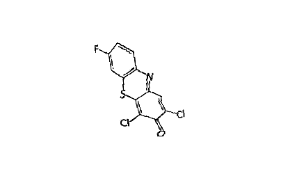 O=c1c(Cl)cc2nc3ccc(F)cc3sc-2c1Cl